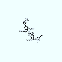 COc1cc2c(NS(=O)(=O)c3c(OC)cc(C4CCN(C)C4)cc3OC)noc2cc1Nc1cc(C2CC2)n[nH]1